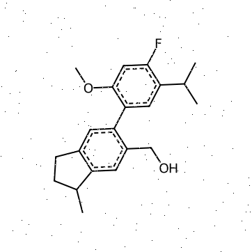 COc1cc(F)c(C(C)C)cc1-c1cc2c(cc1CO)C(C)CC2